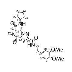 COc1ccc(CCNC(=O)c2cc3n(n2)CC(C)(C(=O)NC2CCCC2)N(C)C3=O)cc1OC